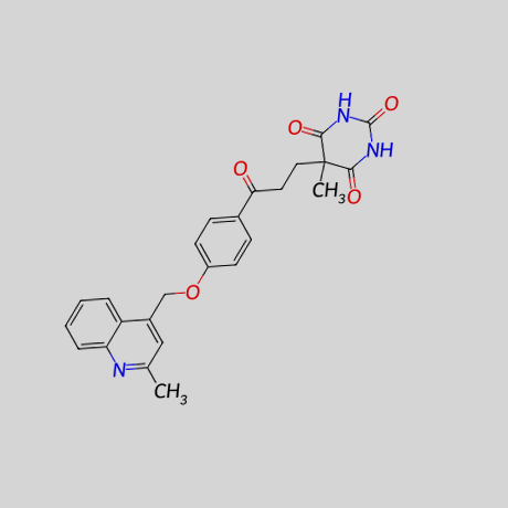 Cc1cc(COc2ccc(C(=O)CCC3(C)C(=O)NC(=O)NC3=O)cc2)c2ccccc2n1